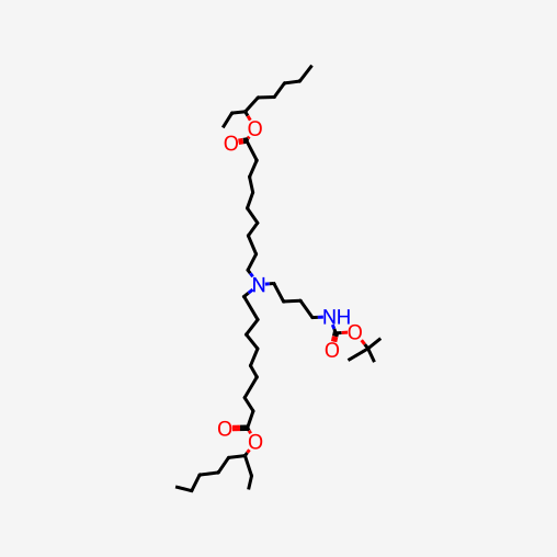 CCCCCC(CC)OC(=O)CCCCCCCCN(CCCCCCCCC(=O)OC(CC)CCCCC)CCCCNC(=O)OC(C)(C)C